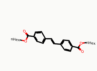 CCCCCCOC(=O)c1ccc(C=Cc2ccc(C(=O)OCCCCCC)cc2)cc1